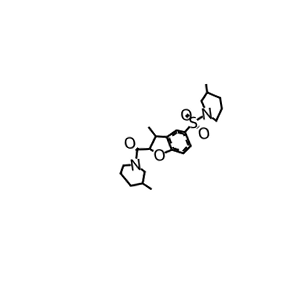 CC1CCCN(C(=O)C2Oc3ccc(S(=O)(=O)N4CCCC(C)C4)cc3C2C)C1